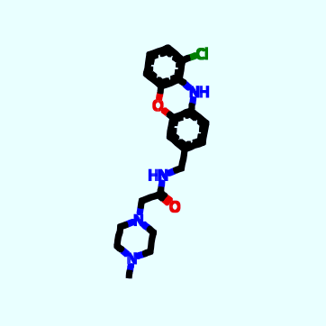 CN1CCN(CC(=O)NCc2ccc3c(c2)Oc2cccc(Cl)c2N3)CC1